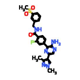 Cc1nn(C)cc1-c1cnc(N)c(-c2ccc(C(=O)NCc3cccc(S(C)(=O)=O)c3)c(F)c2)n1